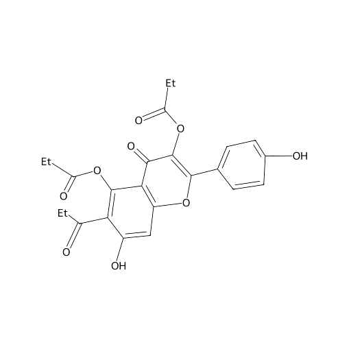 CCC(=O)Oc1c(-c2ccc(O)cc2)oc2cc(O)c(C(=O)CC)c(OC(=O)CC)c2c1=O